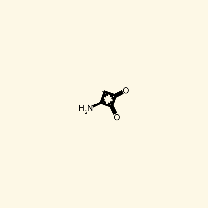 Nc1[c]c(=O)c1=O